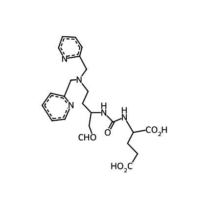 O=CCC(CCN(Cc1ccccn1)Cc1ccccn1)NC(=O)NC(CCC(=O)O)C(=O)O